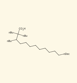 CCCCCCCCCCCCCCCCCCCC(CCCC)C(CCCC)(CCCC)C(=O)O